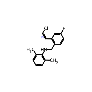 Cc1cccc(C)c1NCc1ccc(F)cc1/C=C\Cl